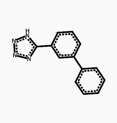 [c]1ccc(-c2ccccc2)cc1-c1nnn[nH]1